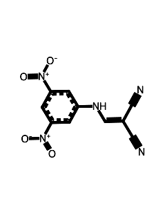 N#CC(C#N)=CNc1cc([N+](=O)[O-])cc([N+](=O)[O-])c1